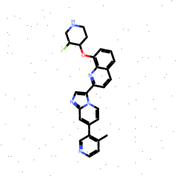 Cc1ccncc1-c1ccn2c(-c3ccc4cccc(OC5CCNCC5F)c4n3)cnc2c1